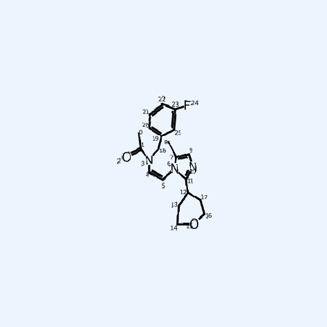 CC(=O)N(/C=C\n1c(C)cnc1C1CCOCC1)Cc1cccc(F)c1